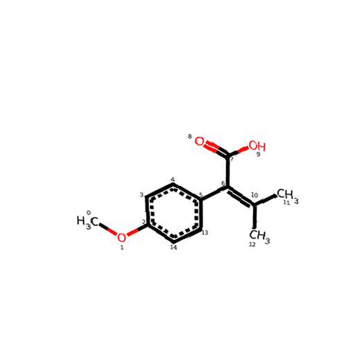 COc1ccc(C(C(=O)O)=C(C)C)cc1